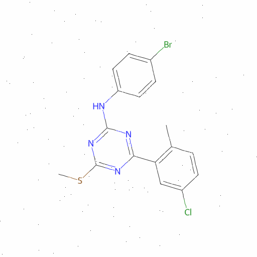 CSc1nc(Nc2ccc(Br)cc2)nc(-c2cc(Cl)ccc2C)n1